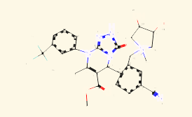 COC(=O)C1=C(C)N(c2cccc(C(F)(F)F)c2)c2n[nH]c(=O)n2C1c1ccc(C#N)cc1C[N+]1(C)CC(O)C(O)C1